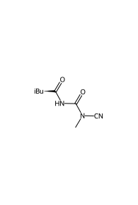 CC[C@H](C)C(=O)NC(=O)N(C)C#N